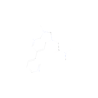 CN(C)C(=O)Cn1c(=O)n(C)c2ncc(-c3cccnc3)cc21